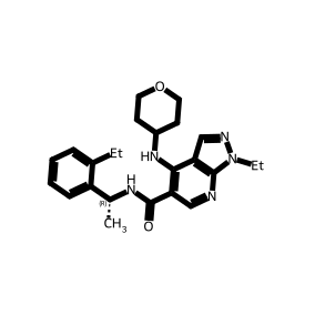 CCc1ccccc1[C@@H](C)NC(=O)c1cnc2c(cnn2CC)c1NC1CCOCC1